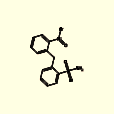 NS(=O)(=O)c1ccccc1Cc1ccccc1[N+](=O)[O-]